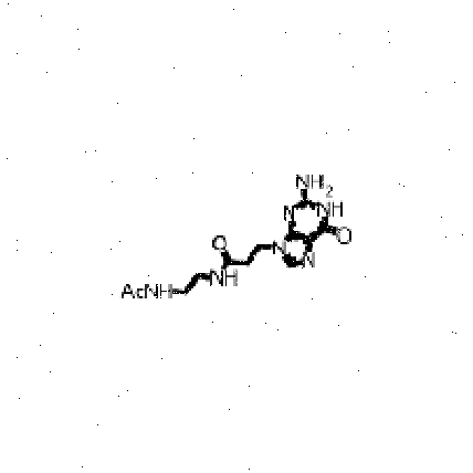 CC(=O)NCCNC(=O)CCn1cnc2c(=O)[nH]c(N)nc21